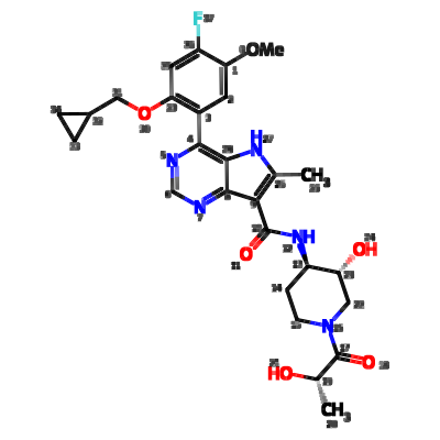 COc1cc(-c2ncnc3c(C(=O)N[C@@H]4CCN(C(=O)[C@H](C)O)C[C@H]4O)c(C)[nH]c23)c(OCC2CC2)cc1F